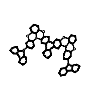 c1cc2c3c(c1)Oc1cc4c5cc6c(cc5c5ccccc5c4cc1B3c1ccc(-n3c4ccccc4c4ccccc43)cc1O2)B1c2ccc(-n3c4ccccc4c4ccccc43)cc2Oc2cccc(c21)O6